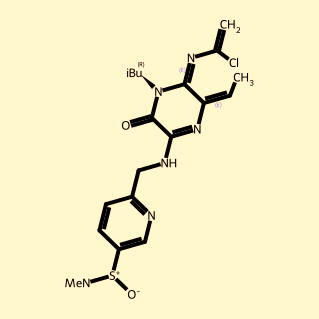 C=C(Cl)/N=C1\C(=C/C)N=C(NCc2ccc([S+]([O-])NC)cn2)C(=O)N1[C@H](C)CC